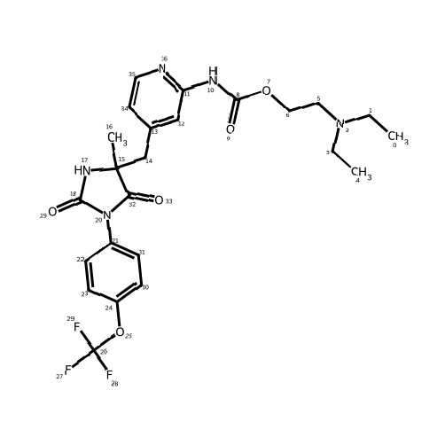 CCN(CC)CCOC(=O)Nc1cc(CC2(C)NC(=O)N(c3ccc(OC(F)(F)F)cc3)C2=O)ccn1